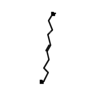 BrCCCC=CCCCBr